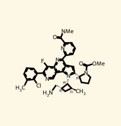 CNC(=O)c1cccc(-c2nc3c(F)c(-c4cccc(C)c4Cl)ncc3c3c2cc([C@H]2CCCN2C(=O)OC)n3[C@H]2[C@@H](CN)C[C@@H]2C)n1